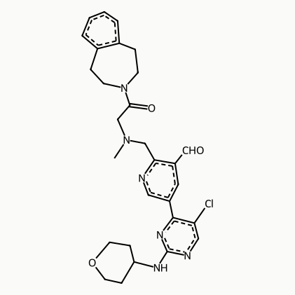 CN(CC(=O)N1CCc2ccccc2CC1)Cc1ncc(-c2nc(NC3CCOCC3)ncc2Cl)cc1C=O